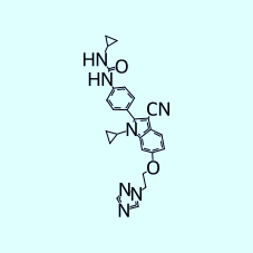 N#Cc1c(-c2ccc(NC(=O)NC3CC3)cc2)n(C2CC2)c2cc(OCCn3cncn3)ccc12